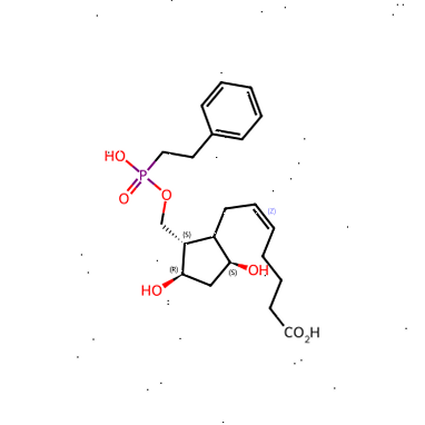 O=C(O)CCC/C=C\CC1[C@@H](COP(=O)(O)CCc2ccccc2)[C@H](O)C[C@@H]1O